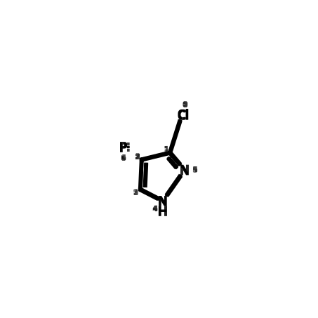 Clc1cc[nH]n1.[P]